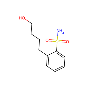 NS(=O)(=O)c1ccccc1CCCCO